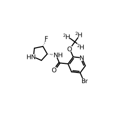 [2H]C([2H])([2H])Oc1ncc(Br)cc1C(=O)N[C@@H]1CNC[C@@H]1F